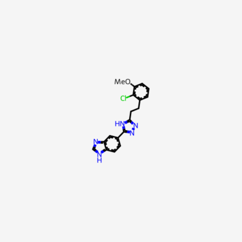 COc1cccc(CCc2nnc(-c3ccc4[nH]cnc4c3)[nH]2)c1Cl